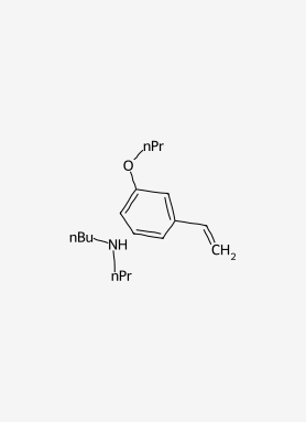 C=Cc1cccc(OCCC)c1.CCCCNCCC